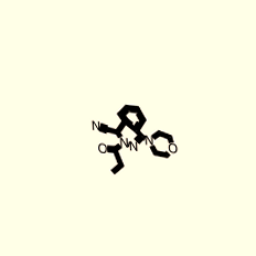 CCC(=O)N1N=C(N2CCOCC2)c2ccccc2C1C#N